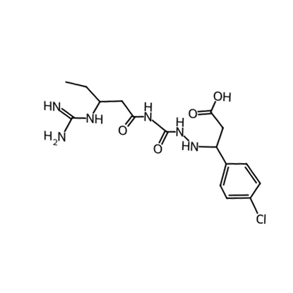 CCC(CC(=O)NC(=O)NNC(CC(=O)O)c1ccc(Cl)cc1)NC(=N)N